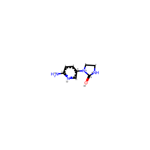 Nc1ccc(N2CCNC2=O)cn1